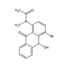 CC(=O)N(C)c1ccc(Br)c2c1C(=O)c1ccccc1C2O